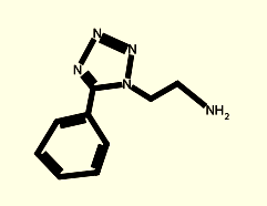 NCCn1nnnc1-c1ccccc1